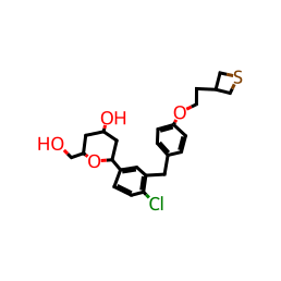 OCC1CC(O)CC(c2ccc(Cl)c(Cc3ccc(OCCC4CSC4)cc3)c2)O1